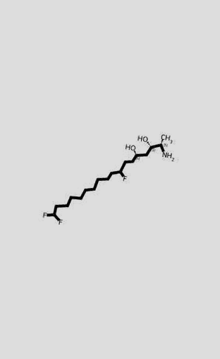 C[C@H](N)[C@@H](O)C[C@@H](O)CCC(F)CCCCCCCCCC(F)F